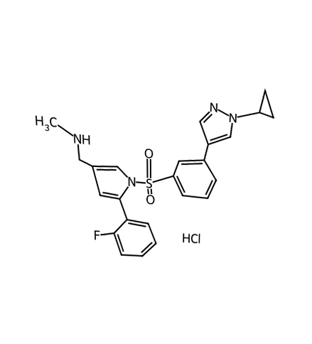 CNCc1cc(-c2ccccc2F)n(S(=O)(=O)c2cccc(-c3cnn(C4CC4)c3)c2)c1.Cl